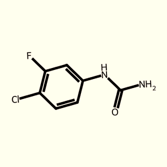 NC(=O)Nc1ccc(Cl)c(F)c1